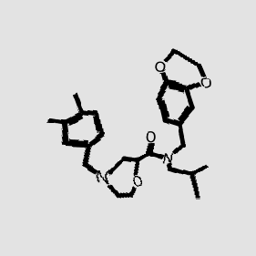 Cc1ccc(CN2CCOC(C(=O)N(Cc3ccc4c(c3)OCCO4)CC(C)C)C2)cc1C